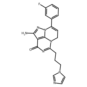 Nc1nn2c3c1c(=O)nc(CCCn1ccnc1)n3CC=C2c1cccc(F)c1